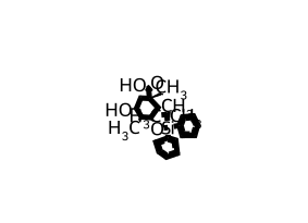 CC[C@]1(C(=O)O)C[C@@H](O)[C@H](C)[C@@H](O[Si](c2ccccc2)(c2ccccc2)C(C)(C)C)C1